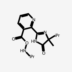 CC(C)NOC(=O)c1cccnc1C1=NC(C)(C(C)C)C(=O)N1